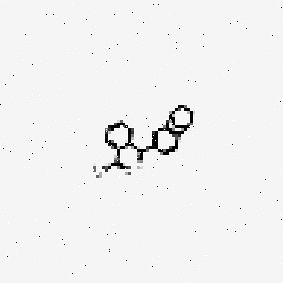 NC(=O)c1ccccc1C(=O)c1ccc2c(c1)C1CCC2C1